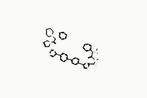 C[C@@H](c1ncc(-c2ccc(-c3ccc(-c4cnc([C@@H]5C=CCN5C(=O)[C@@H](c5ccccc5)N5CCCCC5)[nH]4)cc3)cc2)[nH]1)N(C)C(=O)[C@@H](c1ccccc1)N(C)C